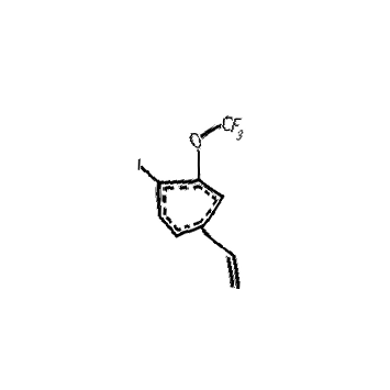 C=Cc1ccc(I)c(OC(F)(F)F)c1